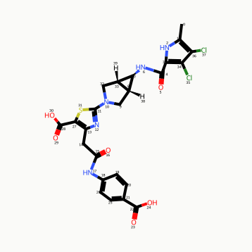 Cc1[nH]c(C(=O)N[C@H]2[C@@H]3CN(c4nc(CC(=O)Nc5ccc(C(=O)O)cc5)c(C(=O)O)s4)C[C@@H]32)c(Cl)c1Cl